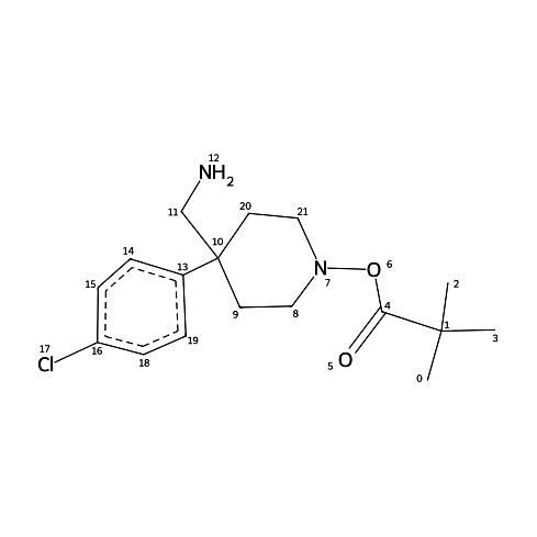 CC(C)(C)C(=O)ON1CCC(CN)(c2ccc(Cl)cc2)CC1